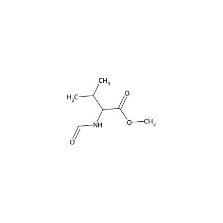 COC(=O)C(NC=O)C(C)C